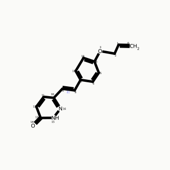 C=CCOc1ccc(/C=C/c2ccc(=O)[nH]n2)cc1